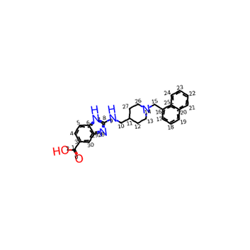 O=C(O)c1ccc2[nH]c(NCC3CCN(Cc4cccc5ccccc45)CC3)nc2c1